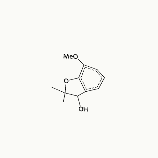 COc1cccc2c1OC(C)(C)C2O